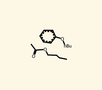 CCCCOC(C)=O.CCCCOc1ccccc1